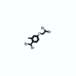 Cc1cc(OCC(Br)Br)ccc1C(Br)Br